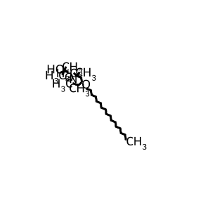 CCCCCCCCCCCCCCCCCCOC1CC(C)(C)N(OCC(C)(C)O)C(C)(C)C1